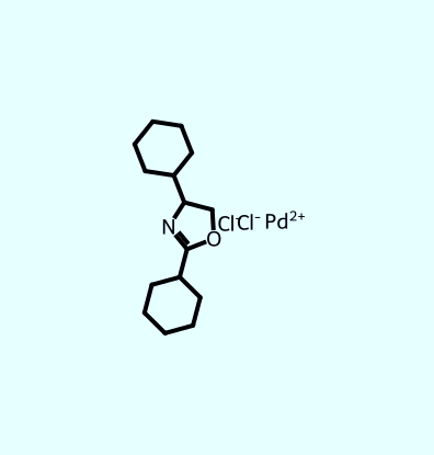 C1CCC(C2=NC(C3CCCCC3)CO2)CC1.[Cl-].[Cl-].[Pd+2]